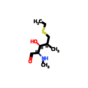 CCSC[C@@H](C)[C@@H](O)[C@@H](C=O)NC